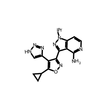 CC(C)n1nc(-c2noc(C3CC3)c2-c2c[nH]nn2)c2c(N)nccc21